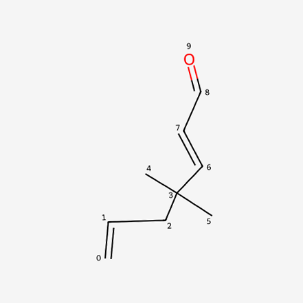 C=CCC(C)(C)C=CC=O